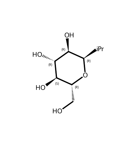 [CH2]C(C)[C@H]1O[C@H](CO)[C@@H](O)[C@H](O)[C@H]1O